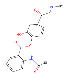 CCC(=O)Nc1ccccc1C(=O)Oc1ccc(C(=O)CNC(C)C)cc1O